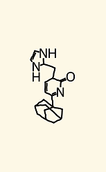 O=C1N=C(C23CC4CC(CC(C4)C2)C3)C=CC1CC1NC=CN1